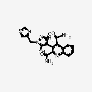 Cc1nn(Cc2cscn2)c(C)c1-c1c(C(N)=O)nc2ccccc2c1C(N)=O